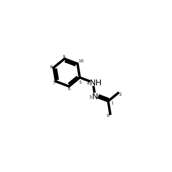 CC(C)=NNc1ccccc1